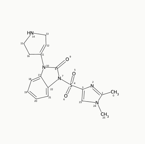 Cc1nc(S(=O)(=O)n2c(=O)n(C3=CCNCC3)c3ccccc32)cn1C